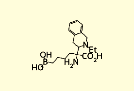 CCN1Cc2ccccc2CC1C(N)(CCCCB(O)O)C(=O)O